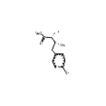 COC(=O)[C@H](C)[C@H](C)Cc1ccc(C)cc1